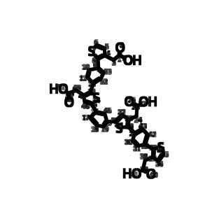 O=C(O)Cc1ccsc1-c1ccc(-c2sc(-c3cccc(-c4cc(CC(=O)O)c(-c5ccc(-c6sccc6CC(=O)O)cc5)s4)c3)cc2CC(=O)O)cc1